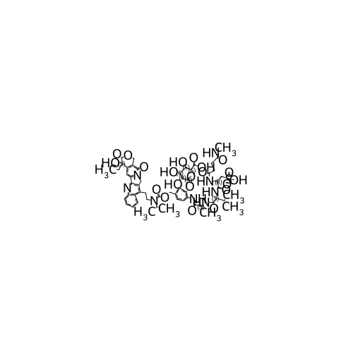 CC[C@@]1(O)C(=O)OCc2c1cc1n(c2=O)Cc2c-1nc1ccccc1c2CCN(C(=O)OCc1ccc(NC(=O)[C@H](C)NC(=O)[C@@H](NC(=O)[C@H](CS(=O)(=O)O)NC(=O)CCC(=O)NC)C(C)C)c(O[C@@H]2O[C@H](C(=O)O)[C@@H](O)[C@H](O)[C@H]2O)c1)C(C)C